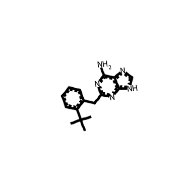 CC(C)(C)c1ccccc1Cc1nc(N)c2nc[nH]c2n1